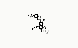 CC(C)Cn1cc(C(=O)O)c(=O)c2cc(F)c(NCc3cccc(C(F)(F)F)c3)cc21